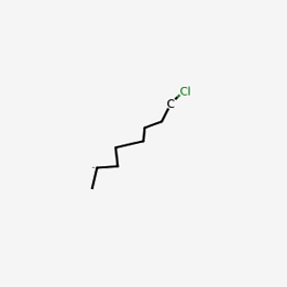 C[CH]CCCCCCCl